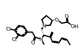 C=C(/C=C\C=C/C)[C@@H](CN1CC[C@H](OCC(=O)O)C1)N(C)C(=O)Cc1ccc(Cl)c(Cl)c1